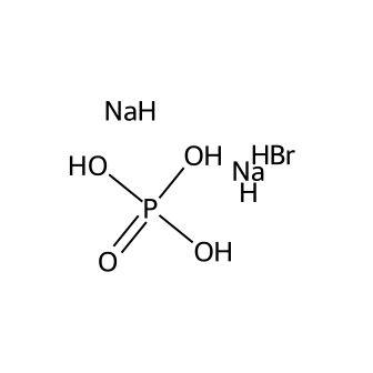 Br.O=P(O)(O)O.[NaH].[NaH]